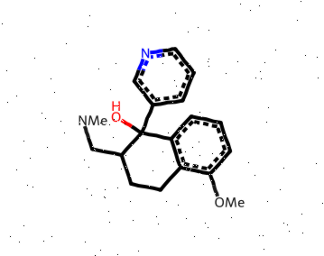 CNCC1CCc2c(OC)cccc2C1(O)c1cccnc1